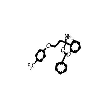 NC(CCOc1ccc(C(F)(F)F)cc1)(OC(=O)c1ccccc1)c1ccccc1